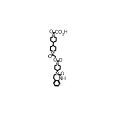 O=C(O)C(=O)N1CCC(C2CCN(C(=O)COC(=O)N3CCC(N4CCc5ccccc5NC4=O)CC3)CC2)CC1